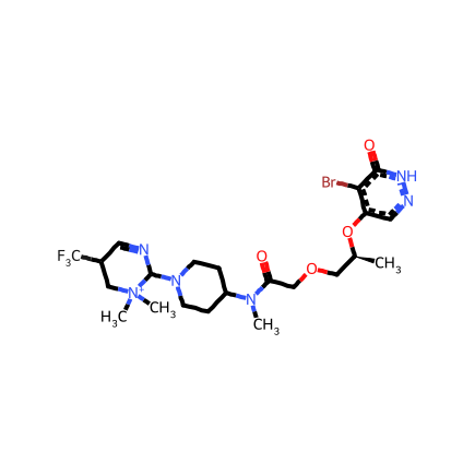 C[C@@H](COCC(=O)N(C)C1CCN(C2N=CC(C(F)(F)F)C[N+]2(C)C)CC1)Oc1cn[nH]c(=O)c1Br